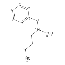 [C-]#[N+]CCCN(Cc1ccccc1)C(=O)O